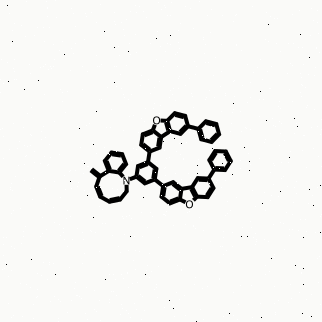 C=C1/C=C\C=C/CN(c2cc(-c3ccc4oc5ccc(-c6ccccc6)cc5c4c3)cc(-c3ccc4oc5ccc(-c6ccccc6)cc5c4c3)c2)c2ccccc21